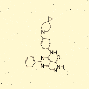 O=c1[nH]ncc2nc(-c3ccccc3)nc(Nc3ccc(CN4CCC5(CC4)CC5)cc3)c12